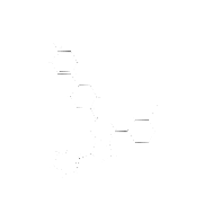 O=C(O)C1CCCN(c2nc(N3CCN(c4ccc(O)cc4)CC3)nc3c2ncn3-c2ccncc2)C1